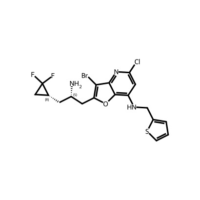 N[C@H](Cc1oc2c(NCc3cccs3)cc(Cl)nc2c1Br)C[C@@H]1CC1(F)F